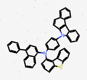 c1ccc(-c2ccc(N(c3ccc(-n4c5ccccc5c5c6ccccc6ccc54)cc3)c3cccc4sc5ccccc5c34)c3ccccc23)cc1